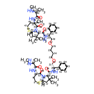 CN[C@@H](C)C(=O)N[C@H]1CCS[C@H]2CC(C)(C)[C@@H](C(=O)N[C@H](COCCCCOC[C@@H](NC(=O)[C@H]3N4C(=O)[C@](C)(NC(=O)[C@H](C)NC)CCS[C@H]4CC3(C)C)c3ccccc3)c3ccccc3)N2C1=O